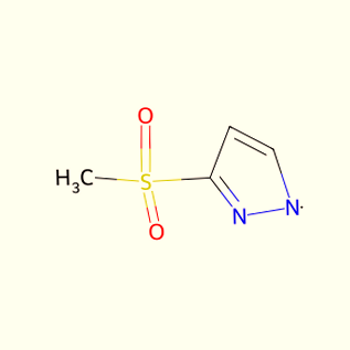 CS(=O)(=O)C1=N[N]C=C1